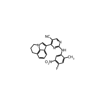 Cc1cc(F)c([N+](=O)[O-])cc1Nc1ncc(C#N)c(-c2cn3c4c(cccc24)CCC3)n1